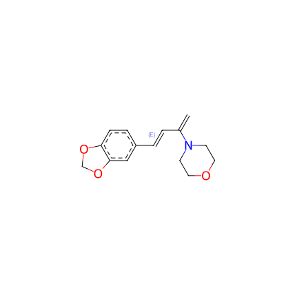 C=C(/C=C/c1ccc2c(c1)OCO2)N1CCOCC1